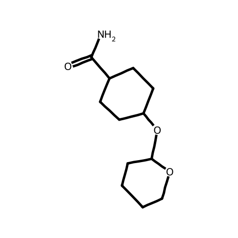 NC(=O)C1CCC(OC2CCCCO2)CC1